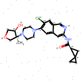 C[C@]1(N2CCN(c3cc4cc(NC(=O)[C@H]5CC56CC6)ncc4cc3Cl)CC2)COC[C@H]1O